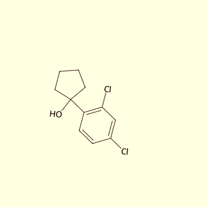 OC1(c2ccc(Cl)cc2Cl)CCCC1